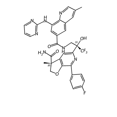 Cc1cnc2c(Nc3ncccn3)cc(C(=O)NC[C@](O)(c3cc4c(c(-c5ccc(F)cc5)n3)OC[C@]4(C)C(N)=O)C(F)(F)F)cc2c1